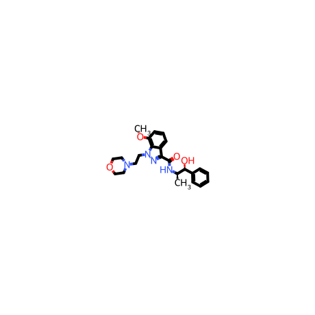 COc1cccc2c(C(=O)N[C@H](C)[C@@H](O)c3ccccc3)nn(CCN3CCOCC3)c12